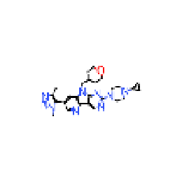 Cc1nnn(C)c1-c1cnc2c3cnc(N4CCN(C5CC5)CC4)nc3n(CC3CCOCC3)c2c1